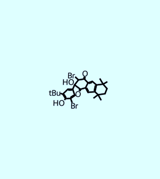 CC(C)(C)c1cc(C2(O)C(=O)c3cc4c(cc3C(=O)C2Br)C(C)(C)CCC4(C)C)cc(Br)c1O